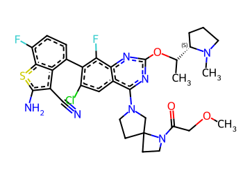 COCC(=O)N1CCC12CCN(c1nc(OC(C)[C@@H]3CCCN3C)nc3c(F)c(-c4ccc(F)c5sc(N)c(C#N)c45)c(Cl)cc13)C2